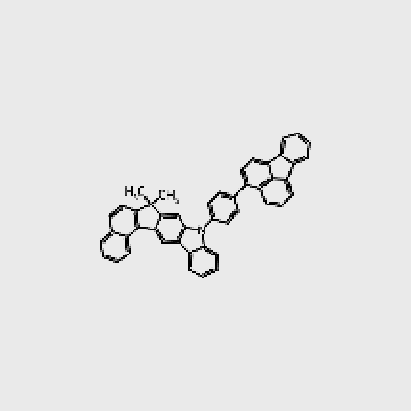 CC1(C)c2cc3c(cc2-c2c1ccc1ccccc21)c1ccccc1n3-c1ccc(-c2ccc3c4c(cccc24)-c2ccccc2-3)cc1